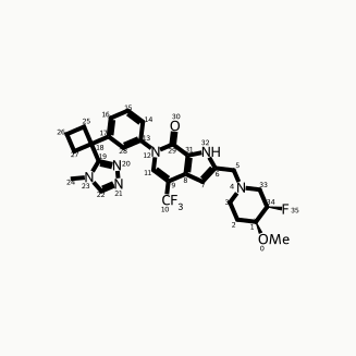 CO[C@H]1CCN(Cc2cc3c(C(F)(F)F)cn(-c4cccc(C5(c6nncn6C)CCC5)c4)c(=O)c3[nH]2)C[C@H]1F